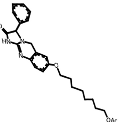 CC(=O)OCCCCCCCCOc1ccc2c(c1)CN1C(=N2)NC(=O)C1c1ccccc1